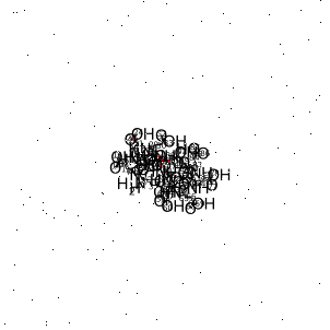 N[C@@H](CCC(=O)O)C(=O)N[C@@H](CCC(=O)O)C(=O)N[C@@H](CCC(=O)O)C(=O)N[C@@H](CCC(=O)O)C(=O)N[C@@H](CCC(=O)O)C(=O)N[C@@H](CCC(=O)O)C(=O)N[C@@H](CCC(=O)O)C(=O)N[C@@H](CCC(=O)O)C(=O)N[C@@H](CCC(=O)O)C(=O)N[C@@H](CCC(=O)O)C(=O)O